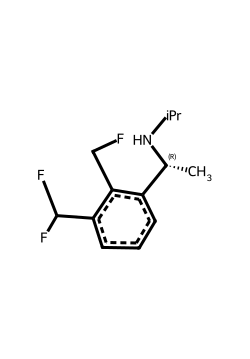 CC(C)N[C@H](C)c1cccc(C(F)F)c1CF